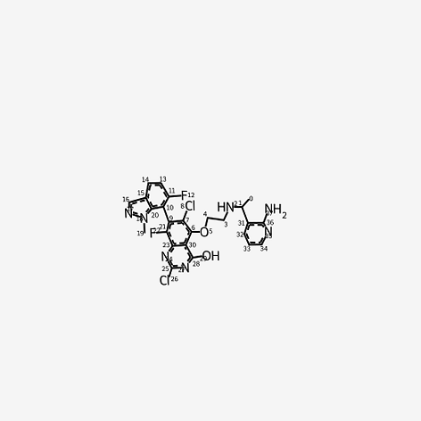 CC(NCCOc1c(Cl)c(-c2c(F)ccc3cnn(C)c23)c(F)c2nc(Cl)nc(O)c12)c1cccnc1N